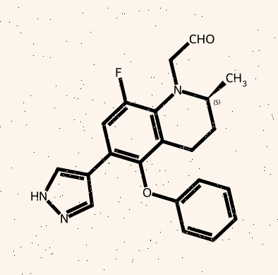 C[C@H]1CCc2c(Oc3ccccc3)c(-c3cn[nH]c3)cc(F)c2N1CC=O